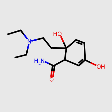 CCN(CC)CCC1(O)C=CC(O)=CC1C(N)=O